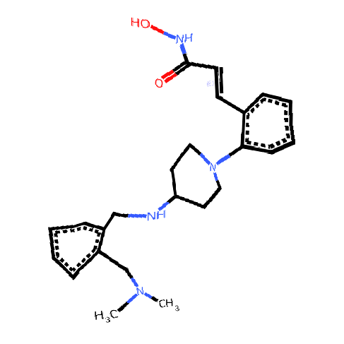 CN(C)Cc1ccccc1CNC1CCN(c2ccccc2/C=C/C(=O)NO)CC1